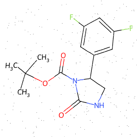 CC(C)(C)OC(=O)N1C(=O)NCC1c1cc(F)cc(F)c1